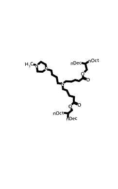 CCCCCCCCCCC(CCCCCCCC)COC(=O)CCCCN(CCCCC(=O)OCC(CCCCCCCC)CCCCCCCCCC)CCCCN1CCN(C)CC1